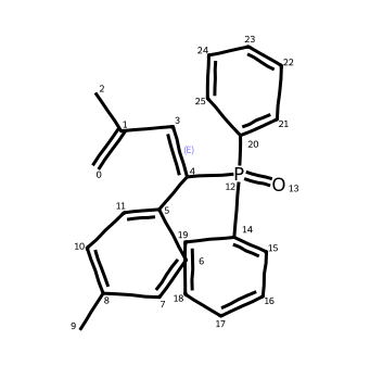 C=C(C)/C=C(\c1ccc(C)cc1)P(=O)(c1ccccc1)c1ccccc1